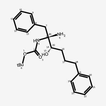 CC(C)(C)OC(=O)N[C@](N)(Cc1ccccc1)[C@@H](O)CCCc1ccccc1